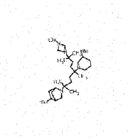 CC(C)(C)C1CCCN(C(C)(CCC(C)(C)N2CN(C(C)(C)C)C2)CCC(C)(C)N2CC3CC2CC3C(C)(C)C)C1